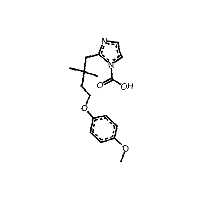 COc1ccc(OCCC(C)(C)Cc2nccn2C(=O)O)cc1